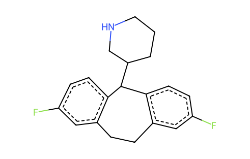 Fc1ccc2c(c1)CCc1cc(F)ccc1C2C1CCCNC1